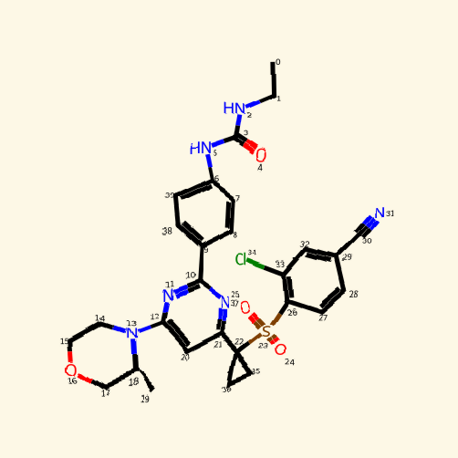 CCNC(=O)Nc1ccc(-c2nc(N3CCOC[C@@H]3C)cc(C3(S(=O)(=O)c4ccc(C#N)cc4Cl)CC3)n2)cc1